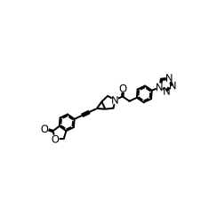 O=C1OCc2cc(C#CC3C4CN(C(=O)Cc5ccc(-n6cnnn6)cc5)CC34)ccc21